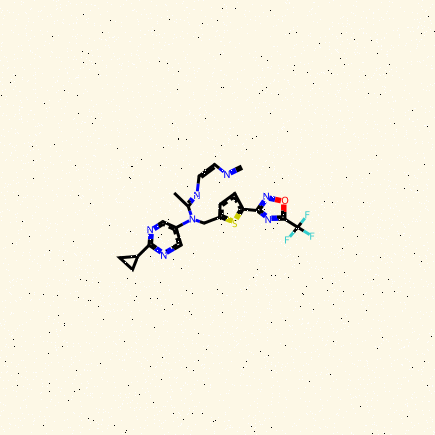 C=N/C=C\N=C(/C)N(Cc1ccc(-c2noc(C(F)(F)F)n2)s1)c1cnc(C2CC2)nc1